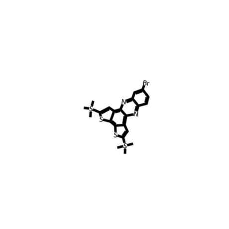 CS(C)(C)c1cc2c3nc4ccc(Br)cc4nc3c3cc(S(C)(C)C)sc3c2s1